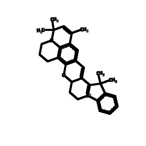 CC1=CC(C)(C)N2CCCc3c4c(cc1c32)C=C1C2=[N+](CCC1O4)c1ccccc1C2(C)C